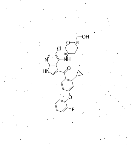 O=C(c1ccc(Oc2ccccc2F)cc1C1CC1)c1c[nH]c2ncc(Cl)c(N[C@@H]3CC[C@@H](CO)OC3)c12